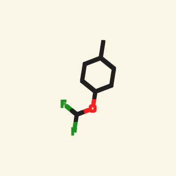 CC1CCC(OC(F)F)CC1